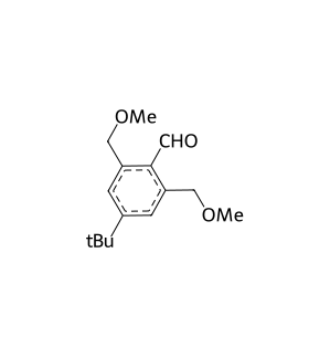 COCc1cc(C(C)(C)C)cc(COC)c1C=O